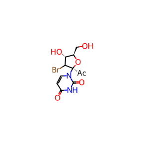 CC(=O)[C@@]1(n2ccc(=O)[nH]c2=O)O[C@H](CO)[C@@H](O)C1Br